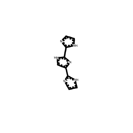 c1c[nH]c(-c2c[nH]c(-c3ncc[nH]3)n2)n1